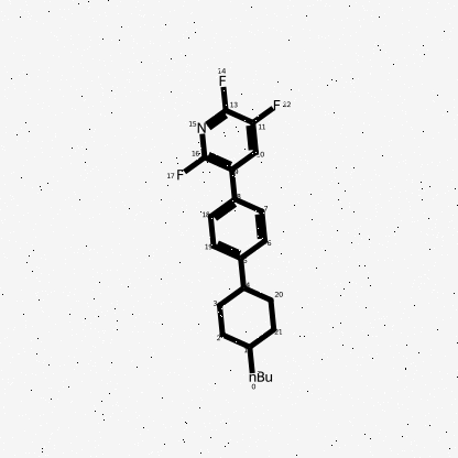 CCCCC1CCC(c2ccc(-c3cc(F)c(F)nc3F)cc2)CC1